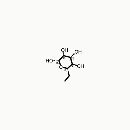 CC[C@H]1O[C@H](O)[C@H](O)[C@@H](O)[C@H]1O